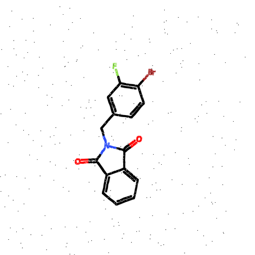 O=C1c2ccccc2C(=O)N1Cc1ccc(Br)c(F)c1